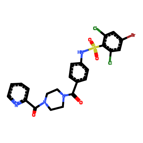 O=C(c1ccc(NS(=O)(=O)c2c(Cl)cc(Br)cc2Cl)cc1)N1CCN(C(=O)c2ccccn2)CC1